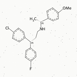 COc1ccc([C@@H](C)NCC[C@H](c2ccc(F)cc2)c2ccc(Cl)cc2)cc1